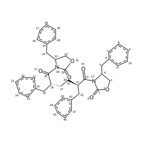 O=C1OCC(Cc2ccccc2)N1C(=O)[C@H](CC[C@H](Cc1ccccc1)C(=O)N1C(=O)OCC1Cc1ccccc1)Cc1ccccc1